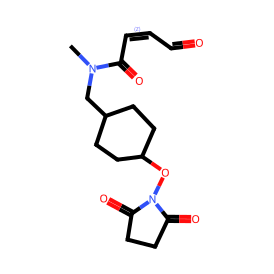 CN(CC1CCC(ON2C(=O)CCC2=O)CC1)C(=O)/C=C\C=O